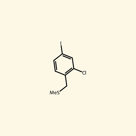 CSCc1ccc(I)cc1Cl